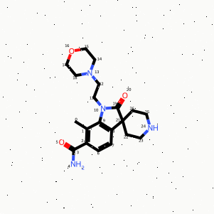 Cc1c(C(N)=O)ccc2c1N(CCN1CCOCC1)C(=O)C21CCNCC1